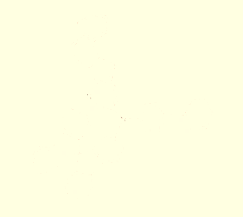 c1ccc(-c2ccc(N(c3ccc4c(c3)C3(c5ccccc5-c5ccccc53)c3ccccc3-4)c3cnc4c(c3)sc3c5ccccc5ccc43)cc2)cc1